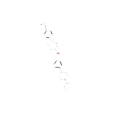 CCCC(O)C1CCC(c2ccc(OC(=O)C3CCC(c4ccc(C5CO5)c(F)c4)CC3)c(F)c2F)CC1